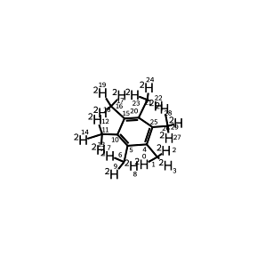 [2H]C([2H])([2H])c1c(C([2H])([2H])[2H])c(C([2H])([2H])[2H])c(C([2H])([2H])[2H])c(C([2H])([2H])[2H])c1C([2H])([2H])[2H]